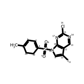 CC1=CC=C(S(=O)(=O)n2cc(I)c3cnc(Cl)nc32)CC1